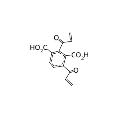 C=CC(=O)c1ccc(C(=O)O)c(C(=O)C=C)c1C(=O)O